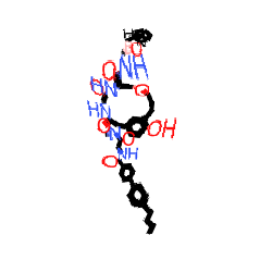 CCCCc1ccc(-c2ccc(C(=O)NCC(=O)N(C)C3C(=O)NCC(=O)NC(C(=O)NCB4C[C@@H]5CC6CC(C6(C)C)[C@]5(C)O4)COCCCc4cc3ccc4O)cc2)cc1